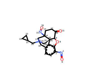 O=Nc1ccc2c3c1OC1C(=O)CCC4(N=O)C(C2)N(CC2CC2)CC[C@]314